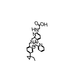 CCC1(c2ccc(CN(Cc3cccc(NCC(=O)O)n3)S(=O)(=O)c3ccccn3)cc2)CC1